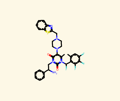 Cc1cc(F)c(F)c(F)c1C(F)n1c(C)c(N2CCN(Cc3nc4ccccc4s3)CC2)c(=O)n(CC(N)c2ccccc2)c1=O